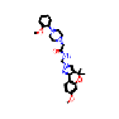 COc1ccc2c(c1)OC(C)(C)c1cn(CNC(=O)CN3CCN(c4ccccc4OC)CC3)nc1-2